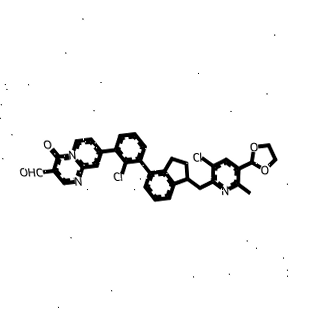 Cc1nc(CC2CCc3c(-c4cccc(-c5ccn6c(=O)c(C=O)cnc6c5)c4Cl)cccc32)c(Cl)cc1C1OCCO1